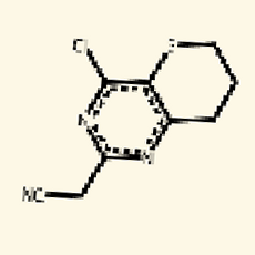 N#CCc1nc(Cl)c2c(n1)CCCS2